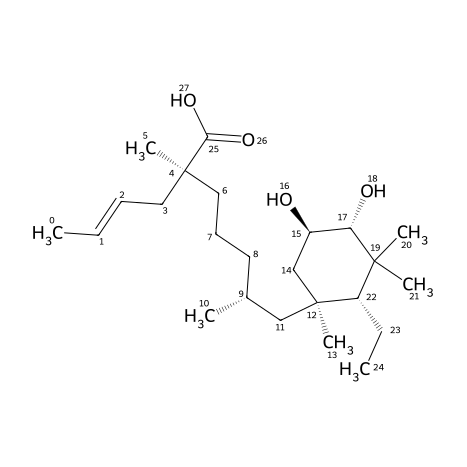 C/C=C/C[C@](C)(CCC[C@@H](C)C[C@@]1(C)C[C@@H](O)[C@H](O)C(C)(C)[C@@H]1CC)C(=O)O